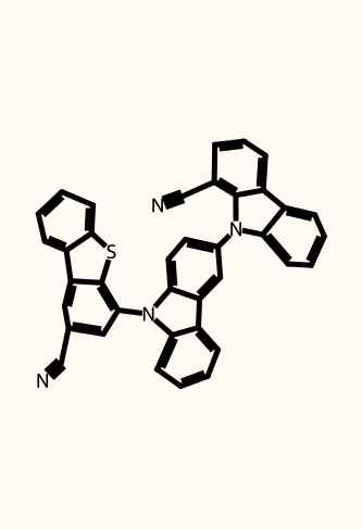 N#Cc1cc(-n2c3ccccc3c3cc(-n4c5ccccc5c5cccc(C#N)c54)ccc32)c2sc3ccccc3c2c1